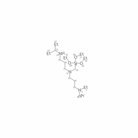 CCCN(CC)CCCN(CCCNC(CC)CC)C[Si](OCC)(OCC)OCC